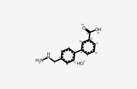 Cl.NNCc1ccc(-c2cccc(C(=O)O)c2)cc1